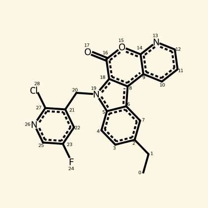 CCc1ccc2c(c1)c1c3cccnc3oc(=O)c1n2Cc1cc(F)cnc1Cl